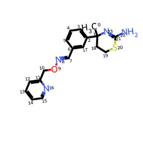 CC1(c2cccc(/C=N/OCc3ccccn3)c2)CCSC(N)=N1